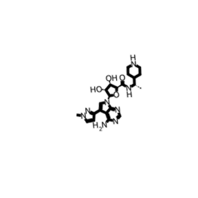 C[C@H](NC(=O)[C@H]1O[C@@H](n2cc(-c3ccn(C)n3)c3c(N)ncnc32)[C@H](O)[C@@H]1O)C1CCNCC1